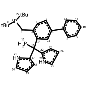 CC(C)(C)P(Cc1ccc(-c2ccccc2)cc1C(P)(c1ccc[nH]1)c1ccc[nH]1)C(C)(C)C